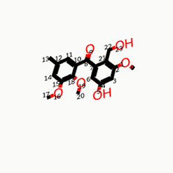 COc1cc(O)cc(C(=O)c2cc(C)cc(OC)c2OC)c1CO